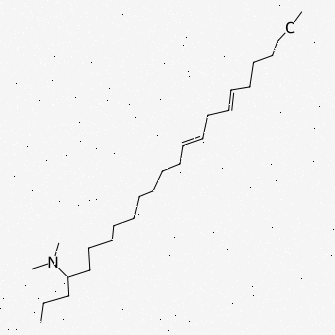 CCCCCCC=CCC=CCCCCCCCCCC(CCC)N(C)C